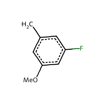 [CH2]c1cc(F)cc(OC)c1